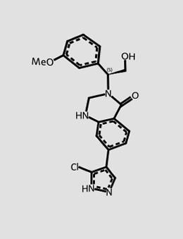 COc1cccc([C@@H](CO)N2CNc3cc(-c4cn[nH]c4Cl)ccc3C2=O)c1